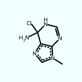 Cn1cnc2c1N=CNC2(N)Cl